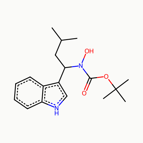 CC(C)CC(c1c[nH]c2ccccc12)N(O)C(=O)OC(C)(C)C